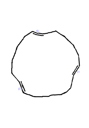 C1=C/CCCC/C=C/CCCC/C=C/CCCC/1